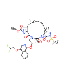 C[C@@H]1CC/C=C\[C@@H]2C[C@@]2(C(=O)NS(=O)(=O)C2(C)CC2)NC(=O)[C@@H]2C[C@@H](Oc3ncc(OCC(F)F)c4ccccc34)CN2C(=O)[C@@H](NC(=O)OC(C)(C)C)[C@H](C)C1